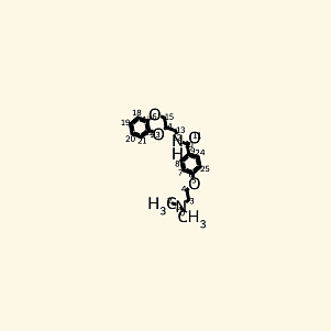 CN(C)CCOc1ccc(C(=O)NCC2COc3ccccc3O2)cc1